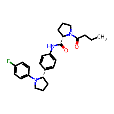 CCCC(=O)N1CCC[C@H]1C(=O)Nc1ccc([C@@H]2CCCN2c2ccc(F)cc2)cc1